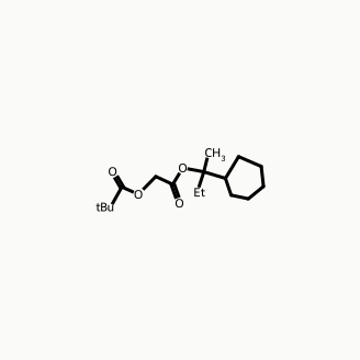 CCC(C)(OC(=O)COC(=O)C(C)(C)C)C1CCCCC1